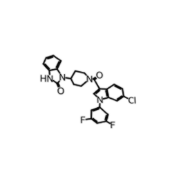 O=C(c1cn(-c2cc(F)cc(F)c2)c2cc(Cl)ccc12)N1CCC(n2c(=O)[nH]c3ccccc32)CC1